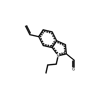 C=Cc1ccc2cc(C=O)n(CCC)c2c1